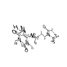 C/C(CCN1C(=O)CSC1=S)=N\c1c(N)c(=O)n(C)c(=O)n1C